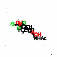 CC(=O)NC[C@@H](O)COC1CCC(C(C)(C)C2CC(Cl)C(OC[C@H](O)CCl)C(Cl)C2)CC1